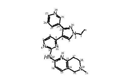 CCn1cc(-c2ccnc(Nc3ccc4c(n3)CCN(C)C4)n2)c(-c2cccnc2)n1